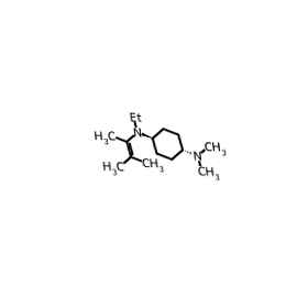 CCN(C(C)=C(C)C)[C@H]1CC[C@H](N(C)C)CC1